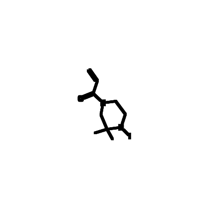 C=CC(=O)N1CCN(I)C(C)(C)C1